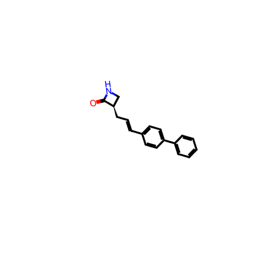 O=C1NC[C@H]1C/C=C/c1ccc(-c2ccccc2)cc1